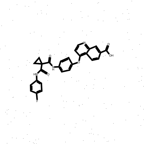 O=C(O)c1ccc2c(Oc3ccc(NC(=O)C4(C(=O)Nc5ccc(F)cc5)CC4)cc3)ccnc2c1